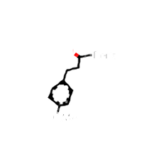 CCCC(C)C(=O)CCc1ccc(OC)cc1